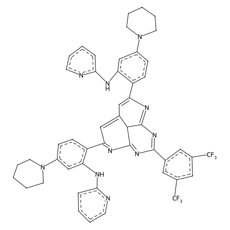 FC(F)(F)c1cc(C2=NC3=NC(c4ccc(N5CCCCC5)cc4Nc4ccccn4)=CC4=CC(c5ccc(N6CCCCC6)cc5Nc5ccccn5)=NC(=N2)C43)cc(C(F)(F)F)c1